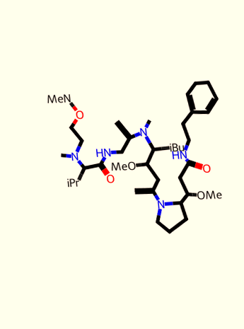 C=C(CNC(=O)C(C(C)C)N(C)CCONC)N(C)C(C(C)CC)C(CC(=C)N1CCCC1C(CC(=O)NCCC1=CCCC=C1)OC)OC